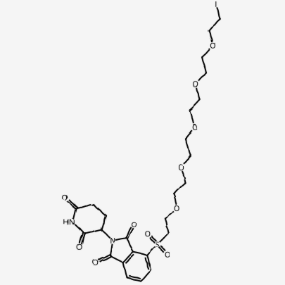 O=C1CCC(N2C(=O)c3cccc(S(=O)(=O)CCOCCOCCOCCOCCOCCI)c3C2=O)C(=O)N1